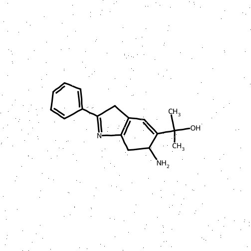 CC(C)(O)C1=CC2=C(CC1N)N=C(c1ccccc1)C2